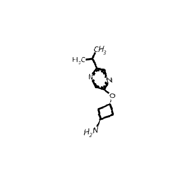 CC(C)c1cnc(O[C@H]2C[C@H](N)C2)cn1